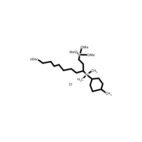 CCCCCCCCCCCCCCCCCC(CC[Si](OC)(OC)OC)[N+](C)(C)C1CCC(C)CC1.[Cl-]